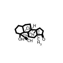 C#CC1(O)CCCC2CC[C@@H]3[C@H](CC[C@]4(C)C(=O)CC[C@@H]34)[C@]21C